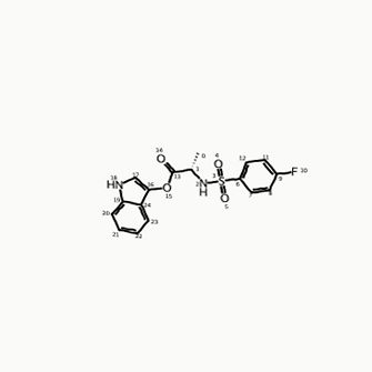 C[C@H](NS(=O)(=O)c1ccc(F)cc1)C(=O)Oc1c[nH]c2ccccc12